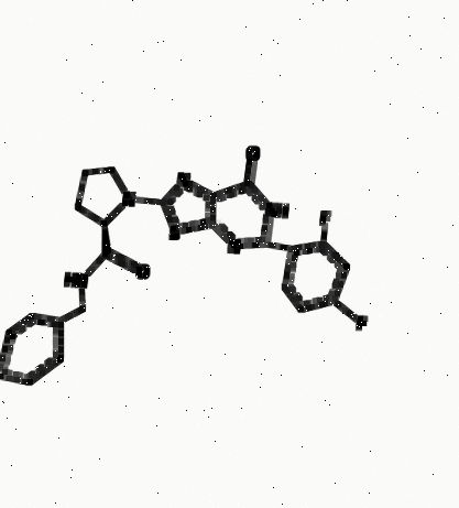 O=C(NCc1ccccc1)[C@H]1CCCN1c1nc2c(=O)[nH]c(-c3ccc(F)cc3F)nc2s1